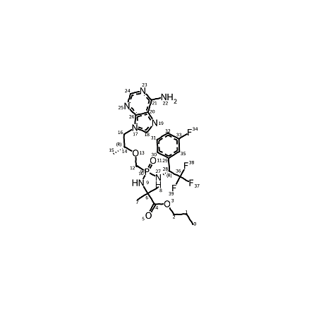 CCCOC(=O)C(C)(C)N[P@@](=O)(CO[C@H](C)Cn1cnc2c(N)ncnc21)N[C@H](c1cccc(F)c1)C(F)(F)F